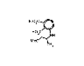 CCOC(=O)c1cccc(NC(C)COC)c1C(=O)O